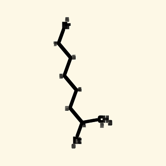 CCC(C)CCCCCBr